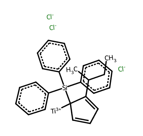 CCC(C)C1=CC=C[C]1([Ti+3])[Si](c1ccccc1)(c1ccccc1)c1ccccc1.[Cl-].[Cl-].[Cl-]